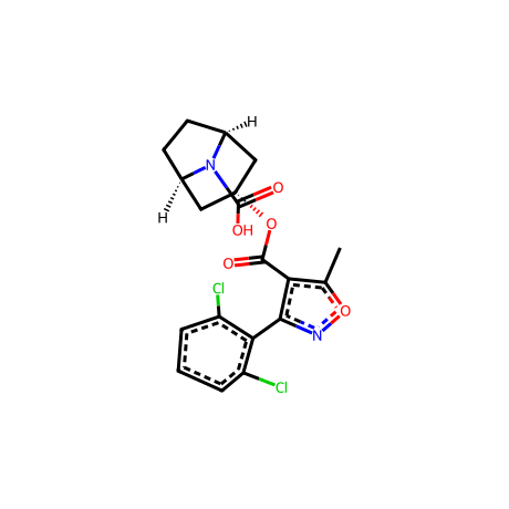 Cc1onc(-c2c(Cl)cccc2Cl)c1C(=O)O[C@@H]1C[C@H]2CC[C@@H](C1)N2C(=O)O